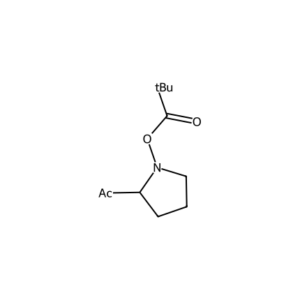 CC(=O)C1CCCN1OC(=O)C(C)(C)C